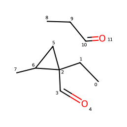 CCC1(C=O)CC1C.CCC=O